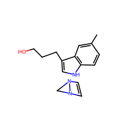 Cc1ccc2[nH]cc(CCCO)c2c1.c1cn2n1C2